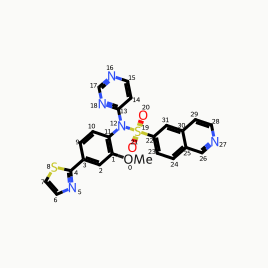 COc1cc(-c2nccs2)ccc1N(c1ccncn1)S(=O)(=O)c1ccc2cnccc2c1